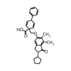 Cc1c(OCC2(C(=O)O)C=CC(c3ccccc3)C=C2)cc2c(c1C)C(=O)C(C1CCCC1)C2